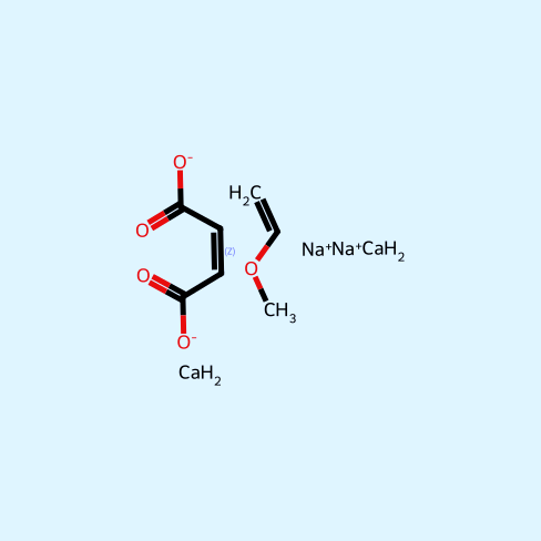 C=COC.O=C([O-])/C=C\C(=O)[O-].[CaH2].[CaH2].[Na+].[Na+]